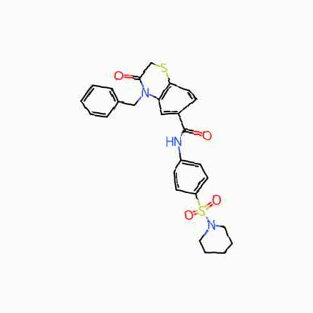 O=C(Nc1ccc(S(=O)(=O)N2CCCCC2)cc1)c1ccc2c(c1)N(Cc1ccccc1)C(=O)CS2